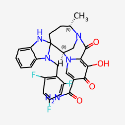 C[C@H]1CCC2(Nc3ccccc3N2Cc2c(F)cc(F)cc2F)[C@H]2CN1C(=O)c1c(O)c(=O)c(C(N)=O)cn12